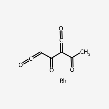 CC(=O)C(=C=O)C(=O)C=C=O.[Rh]